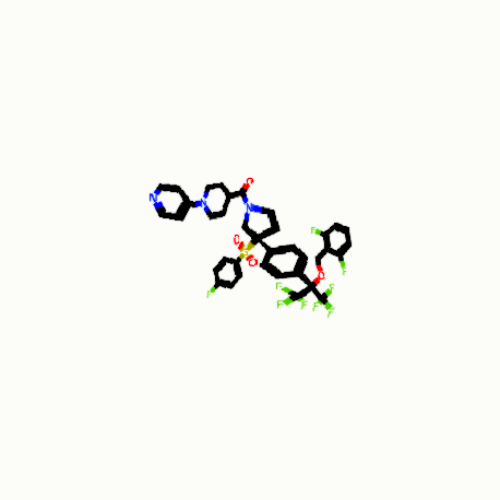 O=C(C1CCN(c2ccncc2)CC1)N1CC[C@](c2ccc(C(OCc3c(F)cccc3F)(C(F)(F)F)C(F)(F)F)cc2)(S(=O)(=O)c2ccc(F)cc2)C1